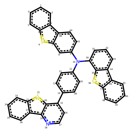 c1ccc2c(c1)sc1cc(N(c3ccc(-c4ccnc5c4sc4ccccc45)cc3)c3cccc4c3sc3ccccc34)ccc12